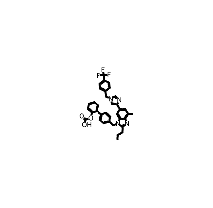 CCCc1nc2c(C)cc(-c3cn(Cc4ccc(C(F)(F)F)cc4)cn3)cc2n1Cc1ccc(-c2ccccc2OC(=O)O)cc1